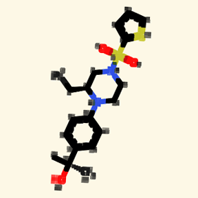 CC(C)C[C@H]1CN(S(=O)(=O)c2cccs2)CCN1c1ccc([C@](C)(O)C(F)(F)F)cc1